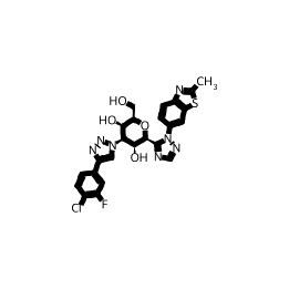 Cc1nc2ccc(-n3ncnc3[C@@H]3O[C@H](CO)[C@H](O)[C@H](n4cc(-c5ccc(Cl)c(F)c5)nn4)[C@H]3O)cc2s1